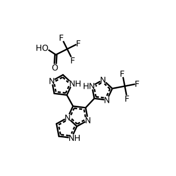 FC(F)(F)c1n[nH]c(-c2nc3[nH]ccn3c2-c2cnc[nH]2)n1.O=C(O)C(F)(F)F